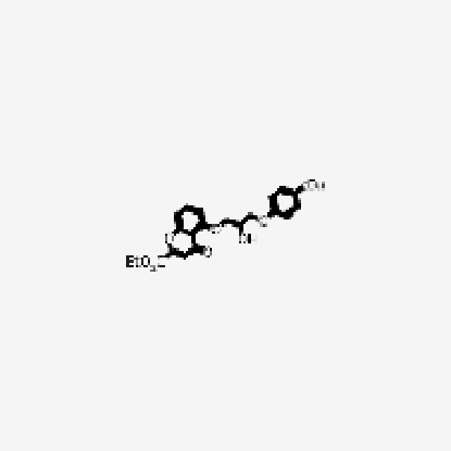 CCOC(=O)c1cc(=O)c2c(OCC(O)COc3ccc(C(C)(C)C)cc3)cccc2o1